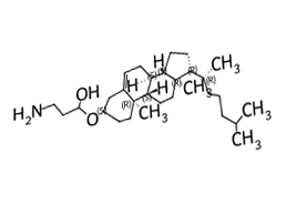 CC(C)CCC[C@@H](C)[C@H]1CC[C@H]2[C@@H]3CC=C4C[C@@H](OC(O)CCN)CC[C@]4(C)[C@H]3CC[C@]12C